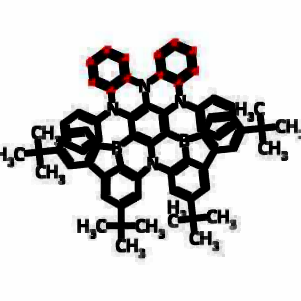 CC(C)(C)c1ccc2c(c1)-c1cc(C(C)(C)C)cc3c1B2c1c2c(c(N(c4ccccc4)c4ccccc4)c(N(c4ccccc4)c4ccccc4)c1N(c1ccccc1)c1ccccc1)B1c4ccc(C(C)(C)C)cc4-c4cc(C(C)(C)C)cc(c41)N32